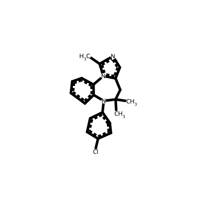 Cc1ncc2n1-c1ccccc1N(c1ccc(Cl)cc1)C(C)(C)C2